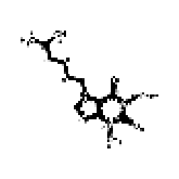 CCCCCn1c(=O)c2c(ncn2CCCCC(C)O)n(C)c1=O